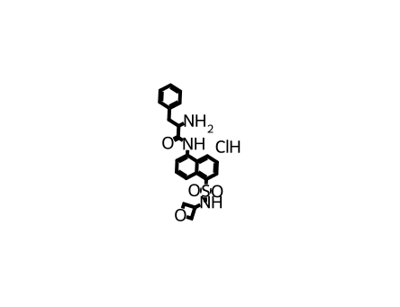 Cl.NC(Cc1ccccc1)C(=O)Nc1cccc2c(S(=O)(=O)NC3COC3)cccc12